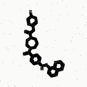 O=C(CC1=CCC(F)C=C1)N1CCCN(C(=O)c2ccc(NSc3cccc4cccnc34)cc2)CC1